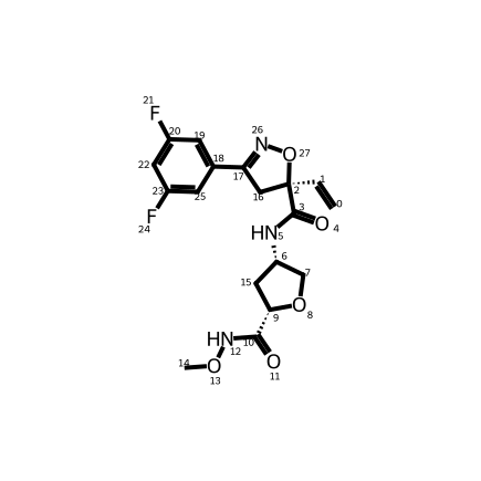 C=C[C@]1(C(=O)N[C@@H]2CO[C@H](C(=O)NOC)C2)CC(c2cc(F)cc(F)c2)=NO1